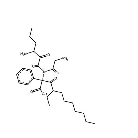 CCCCCCCC(CC)C(=O)[C@@](C(=O)O)(c1ccccc1)N(C(=O)CN)C(=O)C(=O)C(N)CCC